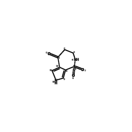 O=C1CCNS(=O)(=O)c2c[nH]cc21